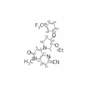 CCOC1CN(c2cc(=O)n(C)c3ccc(C#N)nc23)CCC1Oc1cccc(C(F)(F)F)c1